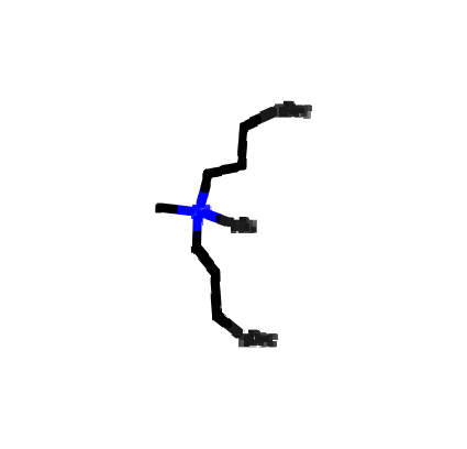 CCCCCCCCCCCCC[N+](C)(CCCC)CCCCCCCCCCCCC